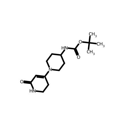 CC(C)(C)OC(=O)NC1CCN(C2=CC(=O)NCC2)CC1